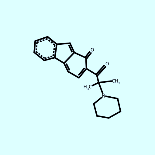 CC(C)(C(=O)C1=CC=C2C(=Cc3ccccc32)C1=O)N1CCCCC1